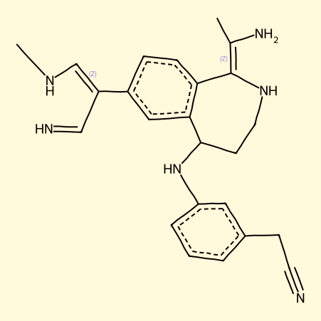 CN/C=C(\C=N)c1ccc2c(c1)C(Nc1cccc(CC#N)c1)CCN/C2=C(/C)N